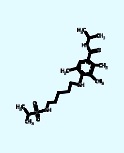 Cc1cc(C(=O)NC(C)C)c(C)c(C)c1NCCCCCNS(=O)(=O)C(C)C